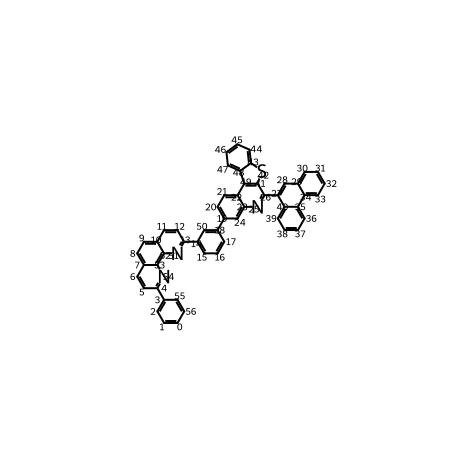 c1ccc(-c2ccc3ccc4ccc(-c5cccc(-c6ccc7c(c6)nc(-c6cc8ccccc8c8ccccc68)c6sc8ccccc8c67)c5)nc4c3n2)cc1